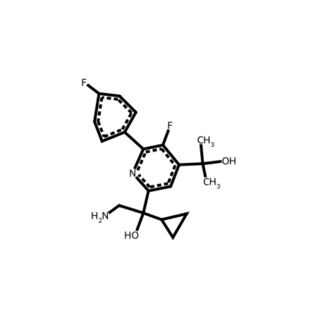 CC(C)(O)c1cc(C(O)(CN)C2CC2)nc(-c2ccc(F)cc2)c1F